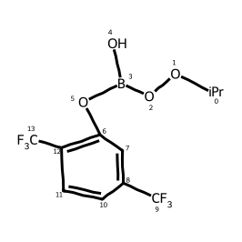 CC(C)OOB(O)Oc1cc(C(F)(F)F)ccc1C(F)(F)F